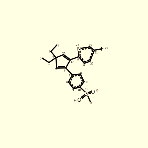 CCC1(CC)C=C(c2ccc(S(C)(=O)=O)cc2)C(c2ccc(F)cn2)=C1